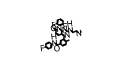 Cc1ccc(C(=O)Nc2ccc(F)cc2)cc1-c1nc(NCCN(C)C)nc2c1ccc(=O)n2-c1c(F)cccc1F